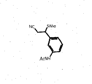 CSC(CC#N)c1cccc(NC(C)=O)c1